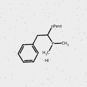 CCCCCC(Cc1ccccc1)P(C)C.I